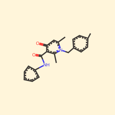 Cc1ccc(Cn2c(C)cc(=O)c(C(=O)Nc3ccccc3)c2C)cc1